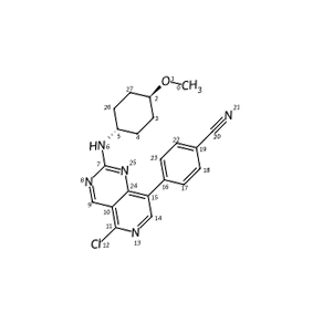 CO[C@H]1CC[C@H](Nc2ncc3c(Cl)ncc(-c4ccc(C#N)cc4)c3n2)CC1